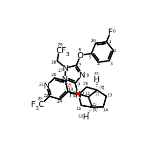 Fc1cccc(Oc2nc(NC3[C@@H]4CC[C@H]3CN(c3ccnc(C(F)(F)F)c3)C4)nn2CC(F)(F)F)c1